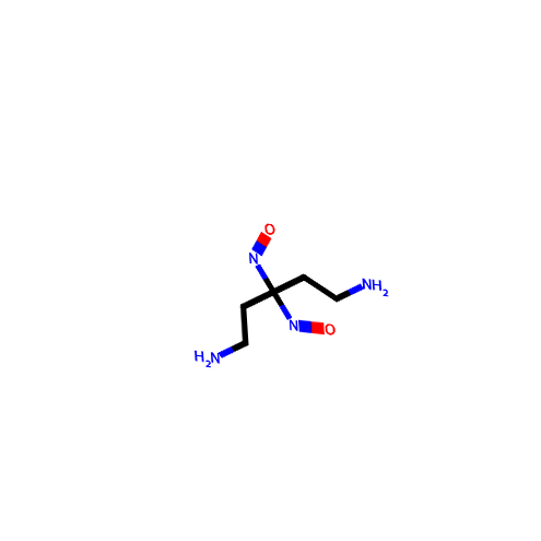 NCCC(CCN)(N=O)N=O